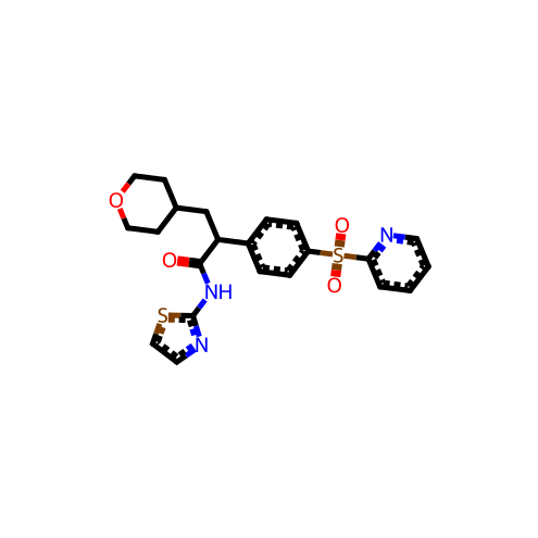 O=C(Nc1nccs1)C(CC1CCOCC1)c1ccc(S(=O)(=O)c2ccccn2)cc1